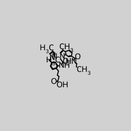 CCCNC(=O)C1=CC2C(C=C1)C(C)=CN2C(C)C(=O)Nc1cc(Cn2cc(C)cn2)ccc1CCCC(=O)O